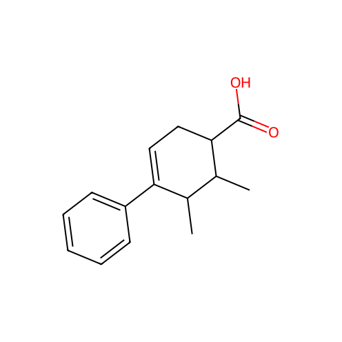 CC1C(c2ccccc2)=CCC(C(=O)O)C1C